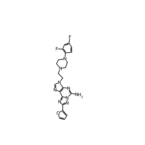 Nc1nc2c(ncn2CCN2CCN(c3ccc(F)cc3F)CC2)c2nc(-c3ccco3)nn12